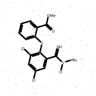 COC(=O)c1ccccc1Sc1c(Cl)cc(Cl)cc1C(=N)[S+]([O-])C(C)(C)C